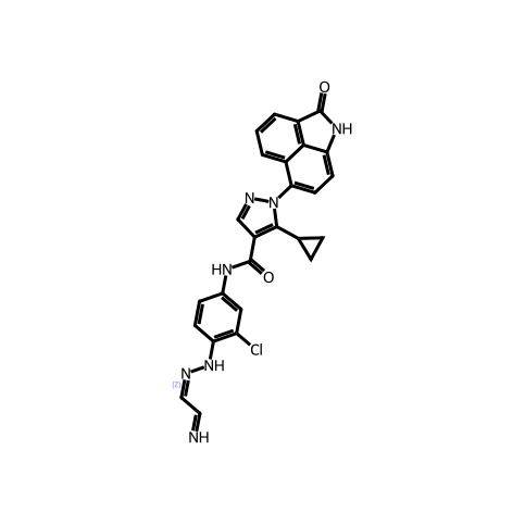 N=C/C=N\Nc1ccc(NC(=O)c2cnn(-c3ccc4c5c(cccc35)C(=O)N4)c2C2CC2)cc1Cl